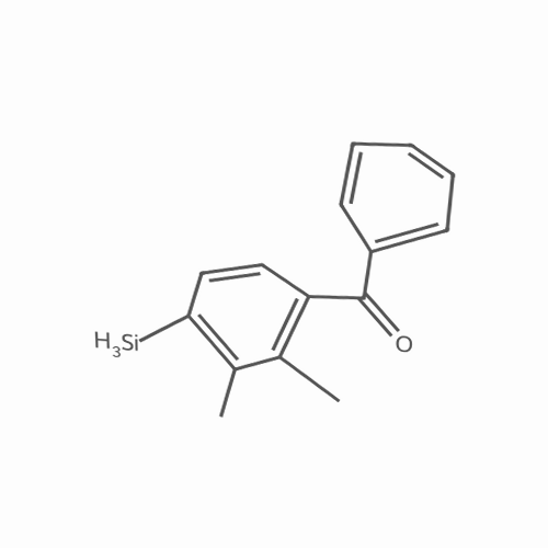 Cc1c([SiH3])ccc(C(=O)c2ccccc2)c1C